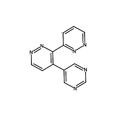 [c]1ccnnc1-c1nnccc1-c1cncnc1